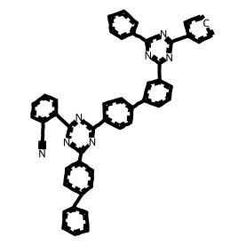 N#Cc1ccccc1-c1nc(-c2ccc(-c3ccccc3)cc2)nc(-c2ccc(-c3cccc(-c4nc(-c5ccccc5)nc(-c5ccccc5)n4)c3)cc2)n1